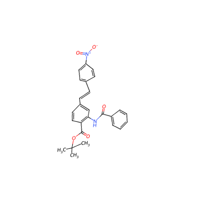 CC(C)(C)OC(=O)c1ccc(C=Cc2ccc([N+](=O)[O-])cc2)cc1NC(=O)c1ccccc1